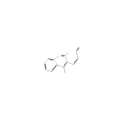 C=C/C=C\c1c(S)nc2ccccc2c1C